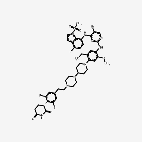 CCc1cc(Nc2ncc(Br)c(Nc3ccc(F)c4ccn(S(C)(=O)=O)c34)n2)c(OC)cc1N1CCC(N2CCN(CCc3cc(F)c([C@H]4CCC(=O)NC4=O)c(F)c3)CC2)CC1